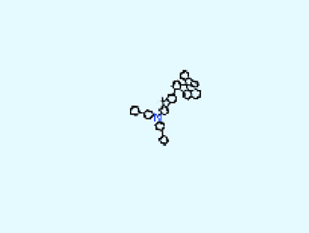 CC1(C)c2cc(-c3cccc4c3-c3ccc5ccccc5c3C43c4ccccc4-c4ccccc43)ccc2-c2ccc(N(c3ccc(-c4ccccc4)cc3)c3ccc(-c4ccccc4)cc3)cc21